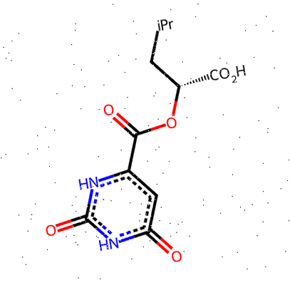 CC(C)C[C@@H](OC(=O)c1cc(=O)[nH]c(=O)[nH]1)C(=O)O